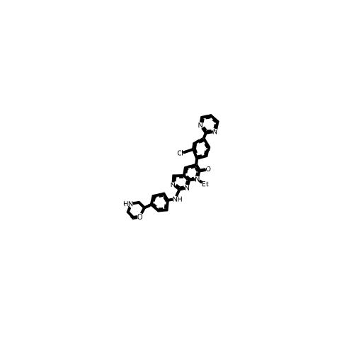 CCn1c(=O)c(-c2ccc(-c3ncccn3)cc2Cl)cc2cnc(Nc3ccc(C4CNCCO4)cc3)nc21